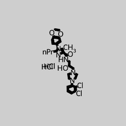 CCCc1nc(C(=O)NCC(O)CN2CCN(c3cccc(Cl)c3Cl)CC2)c(C)n1-c1ccc2c(c1)OCCO2.Cl.Cl